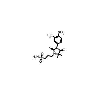 CC1(C)C(=O)N(c2ccc([N+](=O)[O-])c(C(F)(F)F)c2)C(=S)N1CCCS(N)(=O)=O